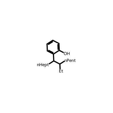 CCCCCCCC(c1ccccc1O)C(CC)CCCCC